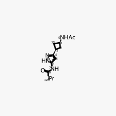 CC(=O)N[C@H]1C[C@@H](c2cc(NC(=O)C(C)C)[nH]n2)C1